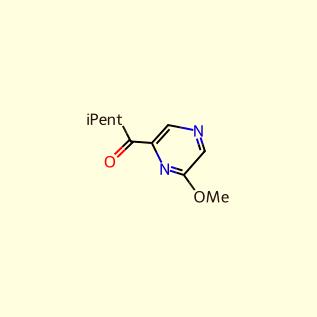 CCCC(C)C(=O)c1cncc(OC)n1